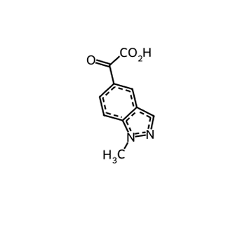 Cn1ncc2cc(C(=O)C(=O)O)ccc21